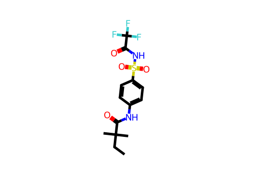 CCC(C)(C)C(=O)Nc1ccc(S(=O)(=O)NC(=O)C(F)(F)F)cc1